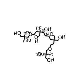 CCCCC(CC)(CO)COCCC(CO)(CO)CCCC(O)C(CO)(CCOCC(CO)(CCC)CCCC)C(F)(F)F